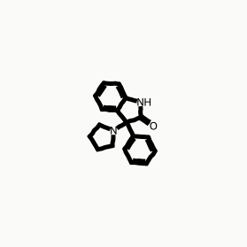 O=C1Nc2ccccc2C1(c1ccccc1)N1CCCC1